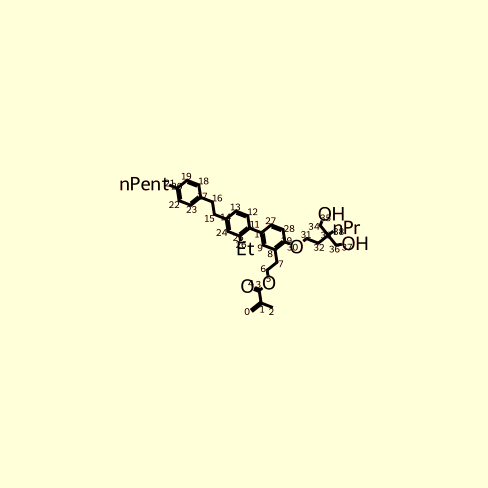 C=C(C)C(=O)OCCc1cc(-c2ccc(CCc3ccc(CCCCC)cc3)cc2CC)ccc1OCCC(CO)(CO)CCC